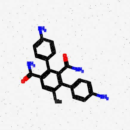 CC(C)(C)c1cc(C(N)=O)c(-c2ccc(N)cc2)c(C(N)=O)c1-c1ccc(N)cc1